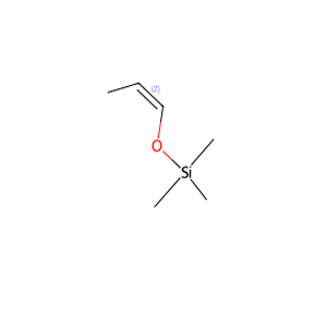 C/C=C\O[Si](C)(C)C